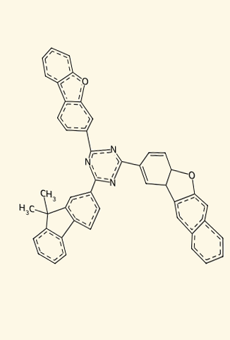 CC1(C)c2ccccc2-c2ccc(-c3nc(C4=CC5c6cc7ccccc7cc6OC5C=C4)nc(-c4ccc5c(c4)oc4ccccc45)n3)cc21